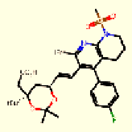 CC(C)c1nc2c(c(-c3ccc(F)cc3)c1C=C[C@@H]1C[C@@](CC(=O)O)(C(C)(C)C)OC(C)(C)O1)CCCN2S(C)(=O)=O